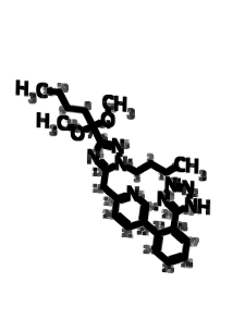 CCCCn1nc(C(CCCC)(OC)OC)nc1Cc1ccc(-c2ccccc2-c2nnn[nH]2)cn1